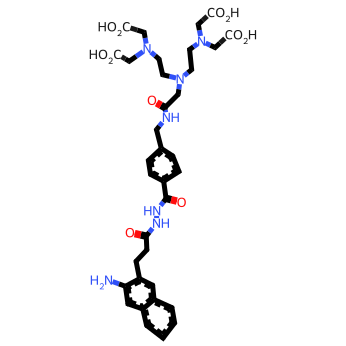 Nc1cc2ccccc2cc1CCC(=O)NNC(=O)c1ccc(CNC(=O)CN(CCN(CC(=O)O)CC(=O)O)CCN(CC(=O)O)CC(=O)O)cc1